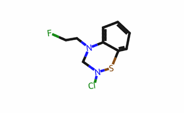 FCCN1CN(Cl)Sc2ccccc21